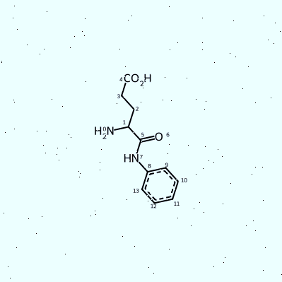 NC(CCC(=O)O)C(=O)Nc1ccccc1